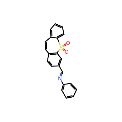 O=S1(=O)c2ccccc2C=Cc2ccc(C=Nc3ccccc3)cc21